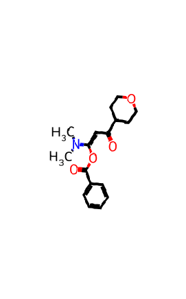 CN(C)/C(=C/C(=O)C1CCOCC1)OC(=O)c1ccccc1